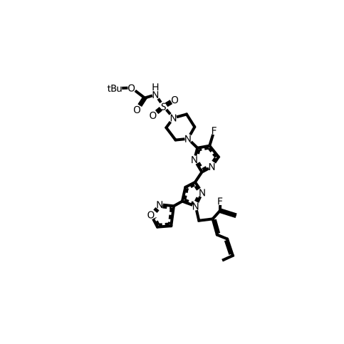 C=C(F)/C(=C\C=C/C)Cn1nc(-c2ncc(F)c(N3CCN(S(=O)(=O)NC(=O)OC(C)(C)C)CC3)n2)cc1-c1ccon1